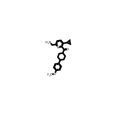 NCc1ccc(C2CC2)c(C(=O)C2CCC(c3ccc(OC(F)(F)F)cc3)CC2)n1